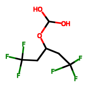 OC(O)OC(CC(F)(F)F)CC(F)(F)F